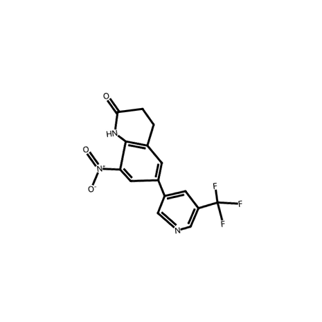 O=C1CCc2cc(-c3cncc(C(F)(F)F)c3)cc([N+](=O)[O-])c2N1